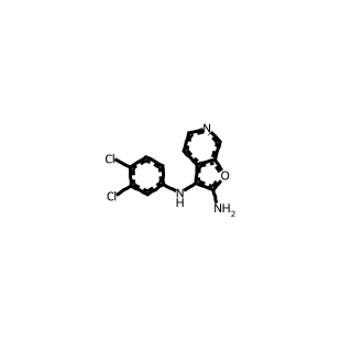 Nc1oc2cnccc2c1Nc1ccc(Cl)c(Cl)c1